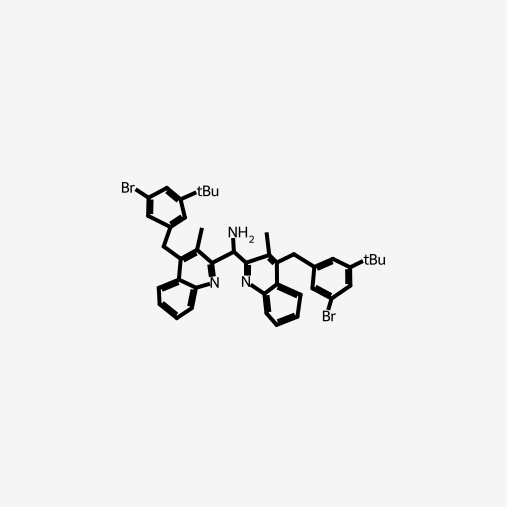 Cc1c(C(N)c2nc3ccccc3c(Cc3cc(Br)cc(C(C)(C)C)c3)c2C)nc2ccccc2c1Cc1cc(Br)cc(C(C)(C)C)c1